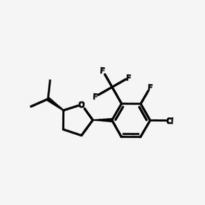 CC(C)[C@@H]1CC[C@H](c2ccc(Cl)c(F)c2C(F)(F)F)O1